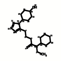 CCN(C(=S)CCCc1nnnn1C1CCC(O)CC1)C1CCCCC1